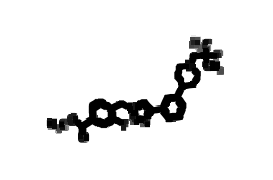 COC(=O)c1ccc(Cn2cc(-c3cccc(C4CCN(CC(C)(C)F)CC4)c3)nn2)c(F)c1